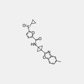 Cc1ccc2oc(C34CC3(NC(=O)c3ccc([S+]([O-])C5CC5)o3)C4)nc2c1